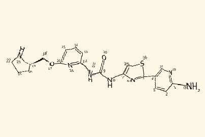 Nc1ccc(-c2nc(NC(=O)Nc3cccc(OC[C@H]4CCCN4)n3)cs2)cn1